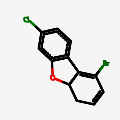 Clc1ccc2c(c1)OC1CC=CC(Br)=C21